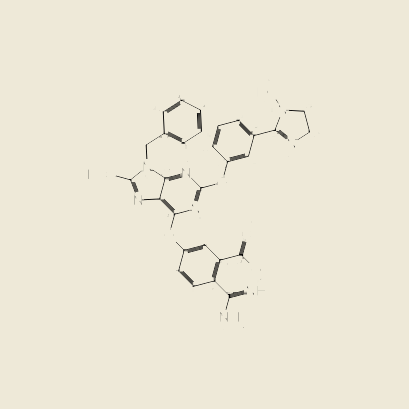 Cc1nc2c(Oc3ccc(C(=N)N)c(C(=O)O)c3)nc(Oc3cccc(C4=NCCN4C)c3)nc2n1Cc1ccccc1